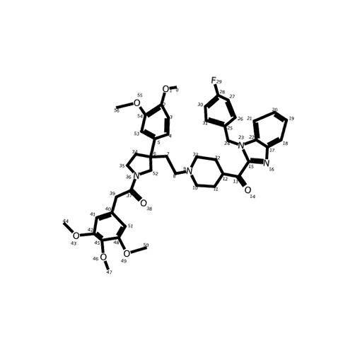 COc1ccc(C2(CCN3CCC(C(=O)c4nc5ccccc5n4Cc4ccc(F)cc4)CC3)CCN(C(=O)Cc3cc(OC)c(OC)c(OC)c3)C2)cc1OC